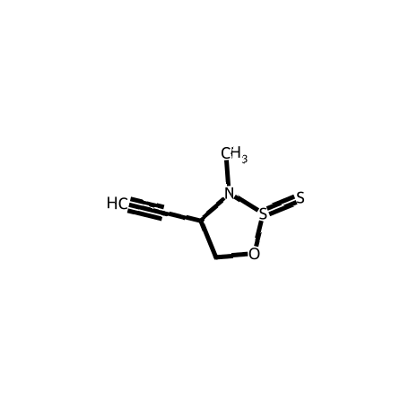 C#CC1COS(=S)N1C